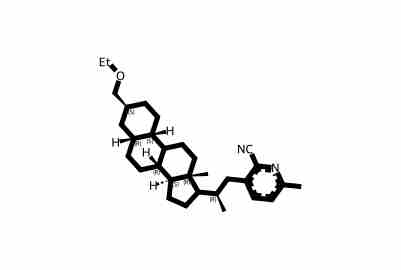 CCOC[C@H]1CC[C@@H]2C3CC[C@]4(C)C([C@H](C)Cc5ccc(C)nc5C#N)CC[C@H]4[C@@H]3CC[C@@H]2C1